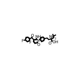 CC(C)C[C@](N)(CCc1ccc(-n2c(N)c(C(=O)c3ccc(F)cc3F)ccc2=O)cc1)C(=O)O